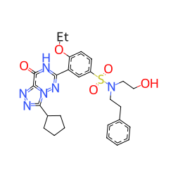 CCOc1ccc(S(=O)(=O)N(CCO)CCc2ccccc2)cc1-c1nn2c(C3CCCC3)nnc2c(=O)[nH]1